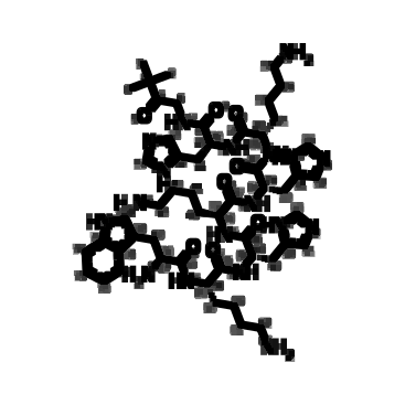 CC(C)(C)C(=O)CNC(=O)[C@H](Cc1cnc[nH]1)NC(=O)[C@H](CCCCN)NC(=O)[C@H](Cc1cnc[nH]1)NC(=O)[C@H](CCCCN)NC(=O)[C@H](Cc1cnc[nH]1)NC(=O)[C@H](CCCCN)NC(=O)[C@@H](N)Cc1c[nH]c2ccccc12